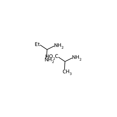 CC(N)C(=O)O.CCC(N)N